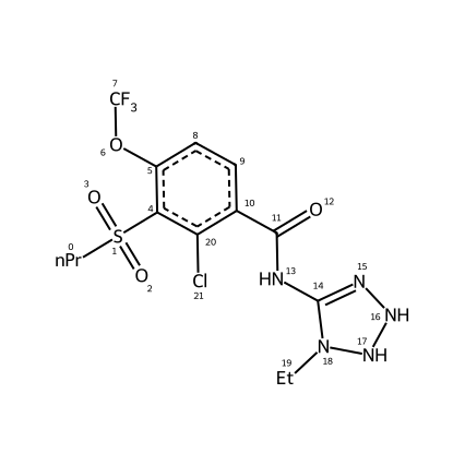 CCCS(=O)(=O)c1c(OC(F)(F)F)ccc(C(=O)NC2=NNNN2CC)c1Cl